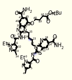 CCn1nc(C)cc1C(=O)/N=c1\sc2cc(C(N)=O)cnc2n1C/C=C/Cn1c(NC(=O)c2cc(C)nn2CC)nc2cc(C(N)=O)cc(OCCCC(=O)OC(C)(C)C)c21